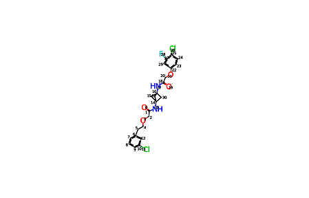 O=C(COCCc1cccc(Cl)c1)NC12CC(NC(=O)COc3ccc(Cl)c(F)c3)(C1)C2